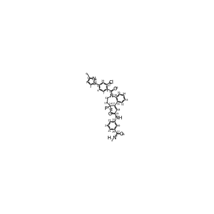 Cc1ccn(-c2ccc(C(=O)N3CCC(F)(F)/C(=C\C(=O)Nc4cccc(C(N)=O)c4)c4ccccc43)c(Cl)c2)n1